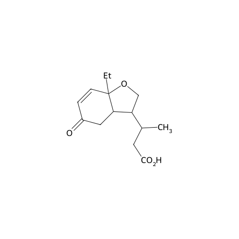 CCC12C=CC(=O)CC1C(C(C)CC(=O)O)CO2